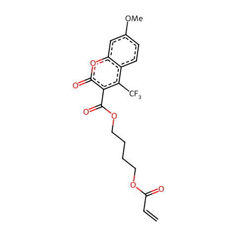 C=CC(=O)OCCCCOC(=O)c1c(C(F)(F)F)c2ccc(OC)cc2oc1=O